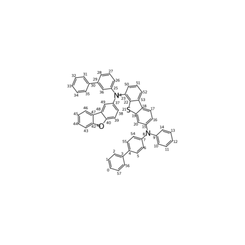 c1ccc(-c2ccc(N(c3ccccc3)c3ccc4c(c3)sc3c(N(c5cccc(-c6ccccc6)c5)c5ccc6oc7ccccc7c6c5)cccc34)cc2)cc1